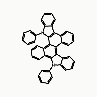 c1ccc(-n2c3ccccc3c3c4c5ccccc5c5c6ccccc6n(-c6ccccc6)c5c4c4ccccc4c32)cc1